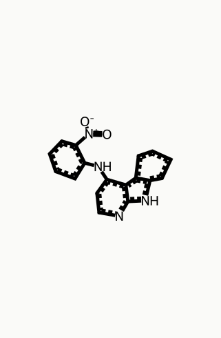 O=[N+]([O-])c1ccccc1Nc1ccnc2[nH]c3ccccc3c12